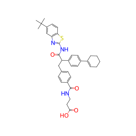 CC(C)(C)c1ccc2sc(NC(=O)C(Cc3ccc(C(=O)NCCC(=O)O)cc3)c3ccc(C4=CCCCC4)cc3)nc2c1